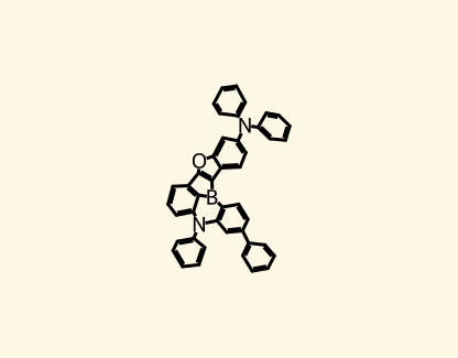 c1ccc(-c2ccc3c(c2)N(c2ccccc2)c2cccc4c2B3c2c-4oc3cc(N(c4ccccc4)c4ccccc4)ccc23)cc1